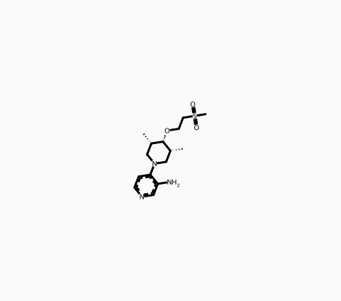 C[C@@H]1CN(c2ccncc2N)C[C@H](C)[C@@H]1OCCS(C)(=O)=O